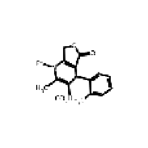 CCN1C(C)=C(C(=O)O)C(c2ccccc2C(F)(F)F)C2=C1COC2=O